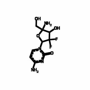 Nc1ccn(C2OC(N)(CO)C(O)C2(F)F)c(=O)n1